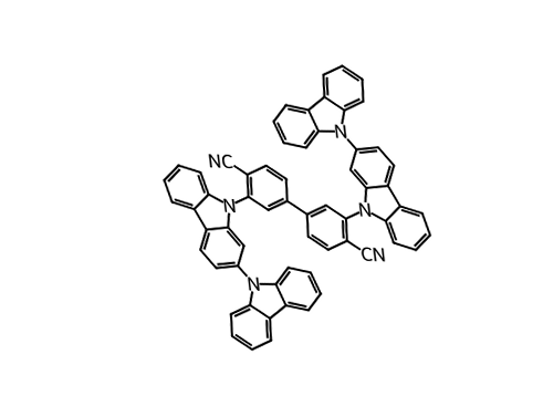 N#Cc1ccc(-c2ccc(C#N)c(-n3c4ccccc4c4ccc(-n5c6ccccc6c6ccccc65)cc43)c2)cc1-n1c2ccccc2c2ccc(-n3c4ccccc4c4ccccc43)cc21